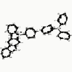 c1ccc(N(c2ccccc2)c2ccc(-c3ccc(-n4c5ccccc5c5cc6c(cc54)sc4ccccc46)cc3)cc2)cc1